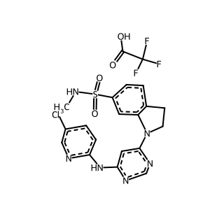 CNS(=O)(=O)c1ccc2c(c1)N(c1cc(Nc3ccc(Cl)cn3)ncn1)CC2.O=C(O)C(F)(F)F